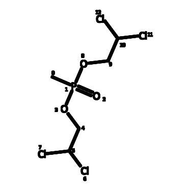 CP(=O)(OCC(Cl)Cl)OCC(Cl)Cl